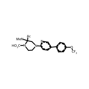 CNC1(C(C)=O)CN(c2ccc(-c3ccc(OC(F)(F)F)cc3)cn2)CCN1C(=O)O